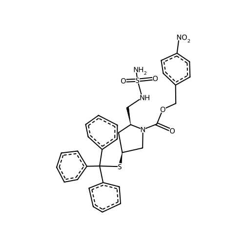 NS(=O)(=O)NC[C@@H]1C[C@H](SC(c2ccccc2)(c2ccccc2)c2ccccc2)CN1C(=O)OCc1ccc([N+](=O)[O-])cc1